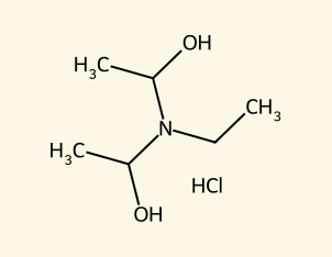 CCN(C(C)O)C(C)O.Cl